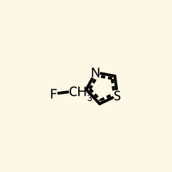 CF.c1cscn1